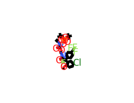 C#CN(OP(=O)(OC(C)(C)C)OC(C)(C)C)C(=O)OCN1C(=O)C(F)(c2cc(Cl)ccc2OC)c2ccc(C(F)(F)F)cc21